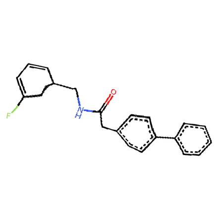 O=C(Cc1ccc(-c2ccccc2)cc1)NCC1C=CC=C(F)C1